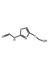 O=[C]Nc1nc(CCO)cs1